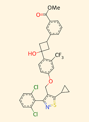 COC(=O)c1cccc(C2CC(O)(c3ccc(OCc4c(-c5c(Cl)cccc5Cl)nsc4C4CC4)cc3C(F)(F)F)C2)c1